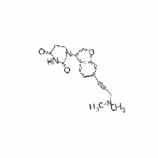 CN(C)CC#Cc1ccc2c(N3CCC(=O)NC3=O)coc2c1